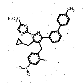 CCOC(=O)c1csc(-n2nc(-c3cccc(-c4ccc(C)cc4)c3)c(Cc3ccc(S(=O)O)cc3F)c2CC2CC2)n1